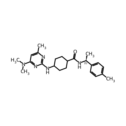 Cc1ccc([C@H](C)NC(=O)C2CCC(Nc3nc(C)cc(N(C)C)n3)CC2)cc1